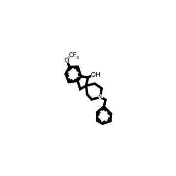 OC1c2cc(OC(F)(F)F)ccc2CC12CCN(Cc1ccccc1)CC2